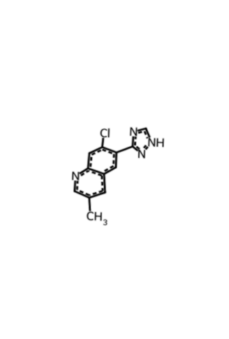 Cc1cnc2cc(Cl)c(-c3nc[nH]n3)cc2c1